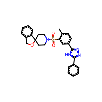 Cc1ccc(-c2nnc(-c3ccccc3)[nH]2)cc1S(=O)(=O)N1CCC2(CC1)OCc1ccccc12